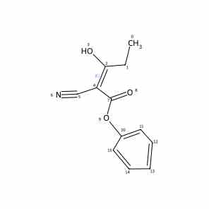 CC/C(O)=C(/C#N)C(=O)Oc1ccccc1